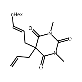 C=CCC1(C/C=C/CCCCCC)C(=O)N(C)C(=O)N(C)C1=O